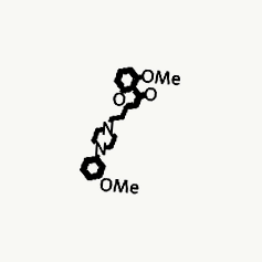 COc1cccc(N2CCN(CCc3cc(=O)c4c(OC)cccc4o3)CC2)c1